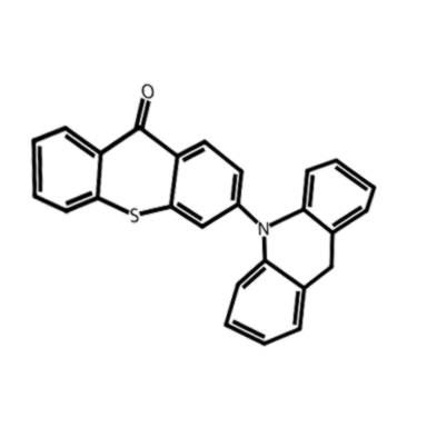 O=c1c2ccccc2sc2cc(N3c4ccccc4Cc4ccccc43)ccc12